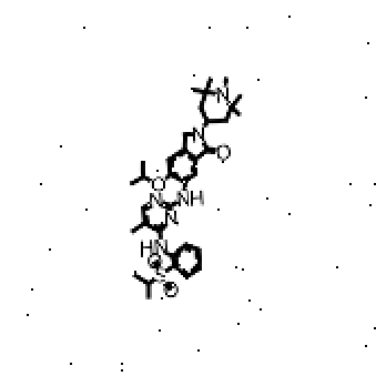 Cc1cnc(Nc2cc3c(cc2OC(C)C)CN(C2CC(C)(C)N(C)C(C)(C)C2)C3=O)nc1Nc1ccccc1S(=O)(=O)C(C)C